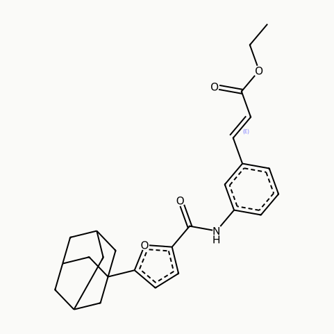 CCOC(=O)/C=C/c1cccc(NC(=O)c2ccc(C34CC5CC(CC(C5)C3)C4)o2)c1